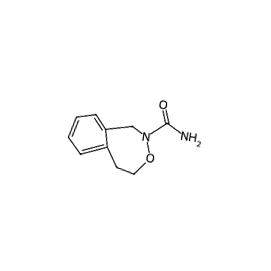 NC(=O)N1Cc2ccccc2CCO1